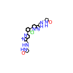 Cn1cc(CNC[C@@H]2CCC(=O)N2)c2ccc(-c3cccc(-c4ccc5c(CNC[C@@H]6CCC(=O)N6)cn(C)c5n4)c3Cl)nc21